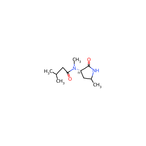 CC(C)CC(=O)N(C)[C@H]1CC(C)NC1=O